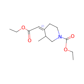 CCOC(=O)/C=C1/CCN(C(=O)OCC)CC1C